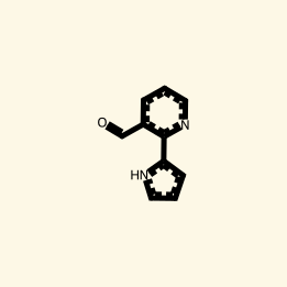 O=Cc1cccnc1-c1ccc[nH]1